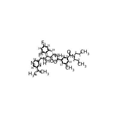 CCCN(CCC)C(=O)c1cc(C)cc(C(=O)N[C@@H](Cc2cc(F)cc(F)c2)[C@H](O)CNCc2cncc(C(C)C)n2)c1